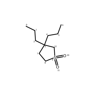 CCCC1(CCC)CCS(=O)(=O)C1